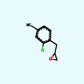 N#Cc1ccc(CC2CO2)c(Cl)c1